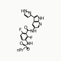 CCCS(=O)(=O)Nc1ccc(F)c(C(=O)Nc2cnc3[nH]cc(-c4cc[nH]n4)c3c2)c1F